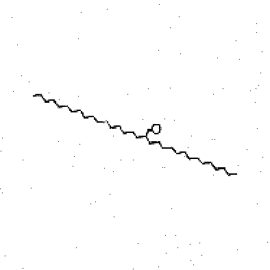 CCCCCCCCCCCCCCCCCC(C=O)CCCCCCCCCCCCCC